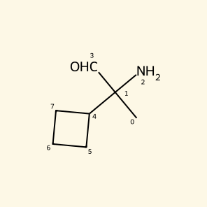 CC(N)(C=O)C1CCC1